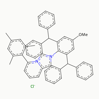 COc1cc(C(c2ccccc2)c2ccccc2)c(-[n+]2cc3cccc(-c4c(C)cc(C)cc4C)n3c2)c(C(c2ccccc2)c2ccccc2)c1.[Cl-]